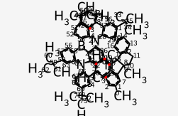 Cc1cc(C)c2c(c1)C1(C)CCc3ccccc3C1(C)N2c1cc2c3c(c1)N(c1ccc(C(C)(C)C)cc1-c1ccccc1)c1cc(C(C)(C)C)ccc1B3c1ccc(C(C)(C)C)cc1N2c1ccc(C(C)(C)C)cc1-c1ccccc1